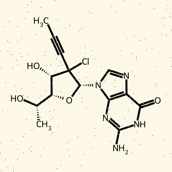 CC#CC1(Cl)[C@@H](O)[C@@H]([C@H](C)O)O[C@H]1n1cnc2c(=O)[nH]c(N)nc21